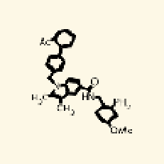 COc1ccc(CNC(=O)c2ccc3c(c2)c(C)c(C)n3Cc2ccc(-c3ccccc3C(C)=O)cc2)c(P)c1